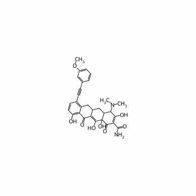 COc1cccc(C#Cc2ccc(O)c3c2CC2CC4C(N(C)C)C(O)=C(C(N)=O)C(=O)C4(O)C(O)=C2C3=O)c1